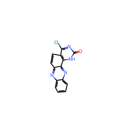 O=c1nc(Cl)c2ccc3nc4ccccc4nc3c2[nH]1